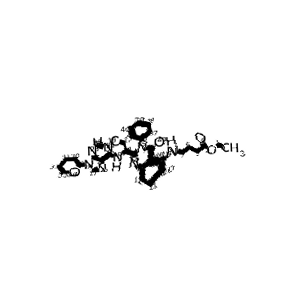 CCOC(=O)CCCNc1cccc2nc([C@H](CC)Nc3ncnc4c3ncn4C3CCCCO3)n(-c3ccccc3)c(=O)c12